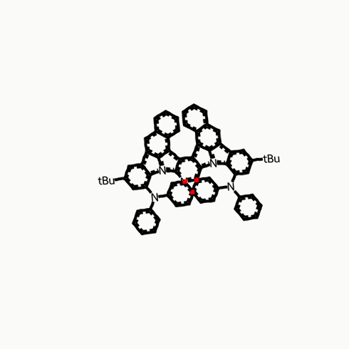 CC(C)(C)c1cc(N(c2ccccc2)c2ccccc2)c2c(c1)c1cc3ccccc3c3c4c5c6c7ccccc7cc7c8cc(C(C)(C)C)cc(N(c9ccccc9)c9ccccc9)c8n(c5ncc4n2c13)c76